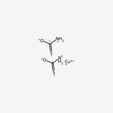 NC([O-])=S.NC([O-])=S.[Cu+2]